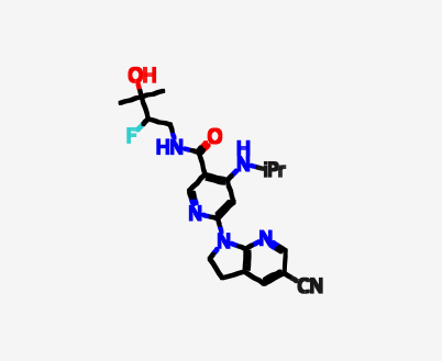 CC(C)Nc1cc(N2CCc3cc(C#N)cnc32)ncc1C(=O)NCC(F)C(C)(C)O